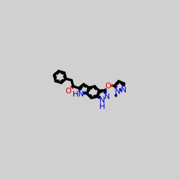 Cn1nccc1Oc1n[nH]c2cc3[nH]c(C(=O)Cc4ccccc4)cc3cc12